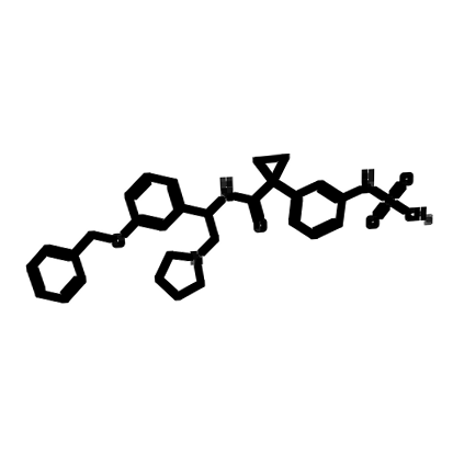 CS(=O)(=O)Nc1cccc(C2(C(=O)NC(CN3CCCC3)c3cccc(OCc4ccccc4)c3)CC2)c1